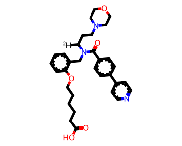 [2H]C(CCN1CCOCC1)N(Cc1ccccc1OCCCCCC(=O)O)C(=O)c1ccc(-c2ccncc2)cc1